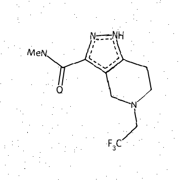 CNC(=O)c1n[nH]c2c1CN(CC(F)(F)F)CC2